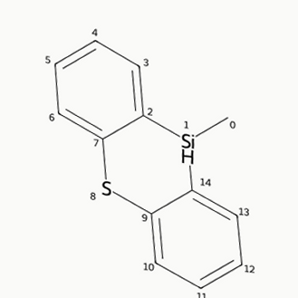 C[SiH]1c2ccccc2Sc2ccccc21